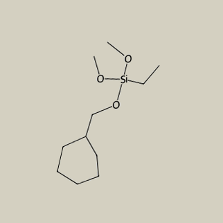 CC[Si](OC)(OC)OCC1CCCCC1